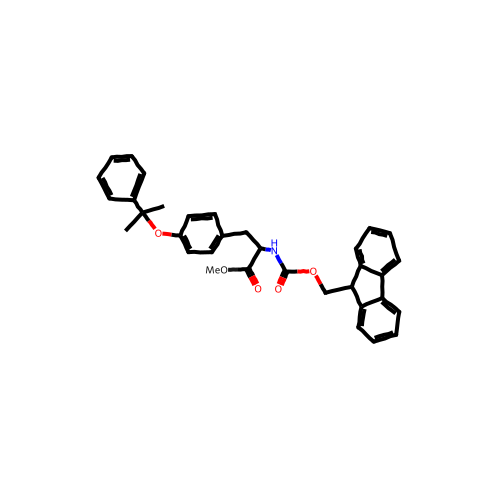 COC(=O)C(Cc1ccc(OC(C)(C)c2ccccc2)cc1)NC(=O)OCC1c2ccccc2-c2ccccc21